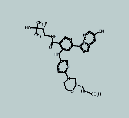 CC(C)(O)[C@H](F)CNC(=O)c1cnc(-c2ccc3cc(C#N)cnn23)cc1Nc1ccc(N2CCO[C@@H](CNC(=O)O)C2)nc1